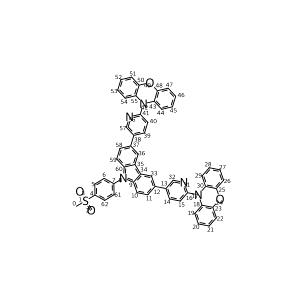 CS(=O)(=O)c1ccc(-n2c3ccc(-c4ccc(N5c6ccccc6Oc6ccccc65)nc4)cc3c3cc(-c4ccc(N5c6ccccc6Oc6ccccc65)nc4)ccc32)cc1